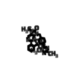 Cc1nc(-c2ccc(Cn3c(=O)n(C)c4cnc(-c5ccccc5C(C)C)nc43)cc2)n(C)n1